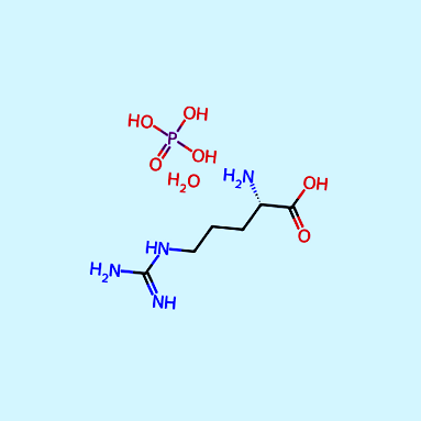 N=C(N)NCCC[C@H](N)C(=O)O.O.O=P(O)(O)O